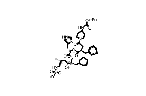 CCCS(=O)(=O)NC[C@@H](C[C@H](O)[C@H](CC1CCCCC1)NC(=O)[C@H](Cc1c[nH]cn1)NC(=O)C(CC(=O)N1CCC(NC(=O)OC(C)(C)C)CC1)Cc1ccccc1)C(C)C